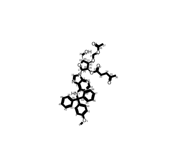 COc1ccc(C(Nc2ncnc3c2ncn3[C@@H]2O[C@H](CO)[C@@H](OCOC(C)=O)[C@H]2OC(=O)CCC(C)=O)(c2ccccc2)c2ccccc2)cc1